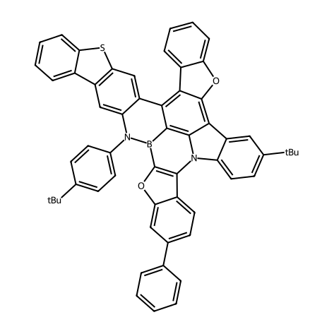 CC(C)(C)c1ccc(N2B3c4oc5cc(-c6ccccc6)ccc5c4-n4c5ccc(C(C)(C)C)cc5c5c6oc7ccccc7c6c(c3c54)-c3cc4sc5ccccc5c4cc32)cc1